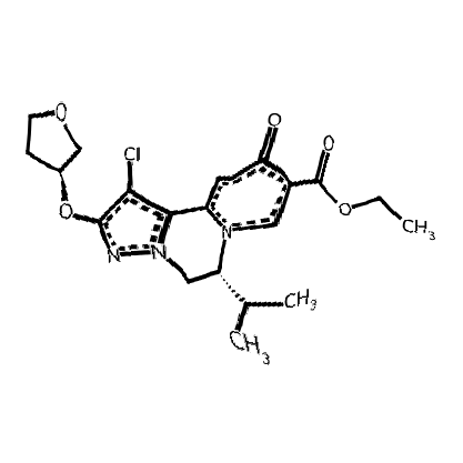 CCOC(=O)c1cn2c(cc1=O)-c1c(Cl)c(O[C@H]3CCOC3)nn1C[C@H]2C(C)C